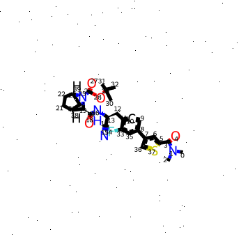 CN(C)C(=O)c1cc(-c2ccc(C[C@@H](C#N)NC(=O)[C@@H]3[C@H]4CC[C@H](C4)N3C(=O)OC(C)(C)C)c(F)c2)cs1